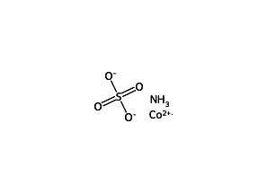 N.O=S(=O)([O-])[O-].[Co+2]